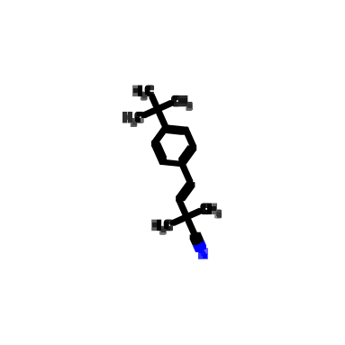 CC(C)(C#N)/C=C/c1ccc(C(C)(C)C)cc1